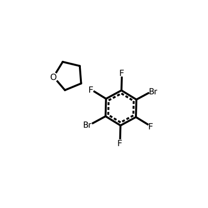 C1CCOC1.Fc1c(F)c(Br)c(F)c(F)c1Br